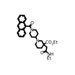 CCNC(=O)CC1(C(=O)OCC)CCCN(C2CCN(C(=O)c3c4ccccc4cc4ccccc34)CC2)C1